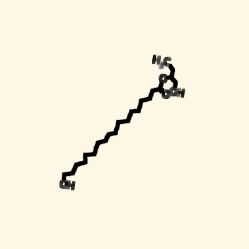 CCC(CO)OC(=O)CCCCCCCCCCCCCCCCCO